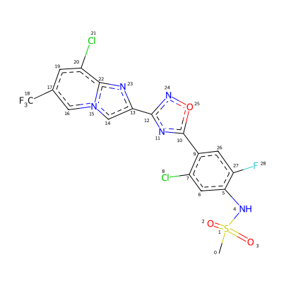 CS(=O)(=O)Nc1cc(Cl)c(-c2nc(-c3cn4cc(C(F)(F)F)cc(Cl)c4n3)no2)cc1F